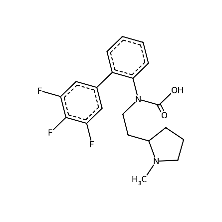 CN1CCCC1CCN(C(=O)O)c1ccccc1-c1cc(F)c(F)c(F)c1